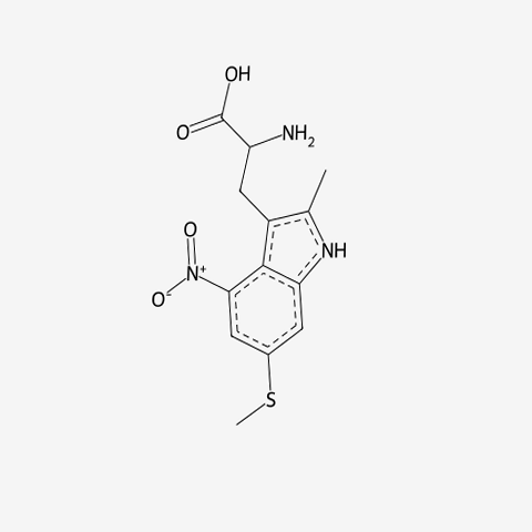 CSc1cc([N+](=O)[O-])c2c(CC(N)C(=O)O)c(C)[nH]c2c1